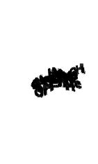 COc1cc2c(Nc3c(F)ccc(O)c3C)ncnc2cc1OCCCN1CCCCC1CO